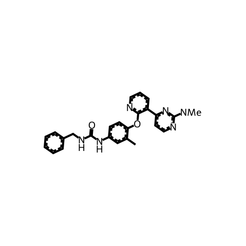 CNc1nccc(-c2cccnc2Oc2ccc(NC(=O)NCc3ccccc3)cc2C)n1